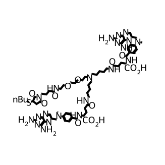 CCCCSC1CC(=O)N(CCCC(=O)NCCOCCOCCN(CCCCCNC(=O)CCC(NC(=O)c2ccc(N(C)Cc3cnc4nc(N)nc(N)c4n3)cc2)C(=O)O)CCCCCNC(=O)CCC(NC(=O)c2ccc(N(C)Cc3cnc4nc(N)nc(N)c4n3)cc2)C(=O)O)C1=O